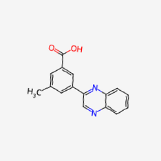 Cc1cc(C(=O)O)cc(-c2cnc3ccccc3n2)c1